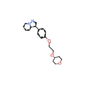 c1ccn2ncc(-c3ccc(OCCOC4CCOCC4)cc3)c2c1